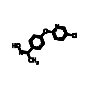 C/C(=N/O)c1ccc(Oc2ccc(Cl)cn2)cc1